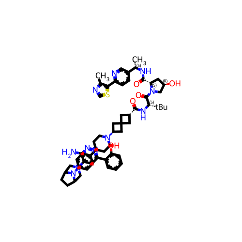 Cc1ncsc1-c1ccc([C@H](C)NC(=O)[C@@H]2C[C@@H](O)CN2C(=O)[C@@H](NC(=O)[C@H]2CC3(C2)C[C@H](N2CCC(c4ccc(N5C6CCC5CN(c5cc(-c7ccccc7O)nnc5N)C6)cc4)CC2)C3)C(C)(C)C)cn1